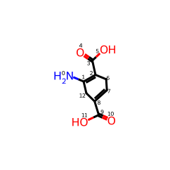 NC1=C(C(=O)O)CC=C(C(=O)O)C1